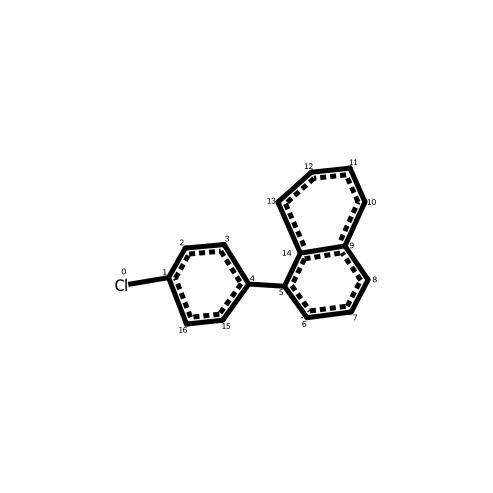 Clc1ccc(-c2[c]ccc3ccccc23)cc1